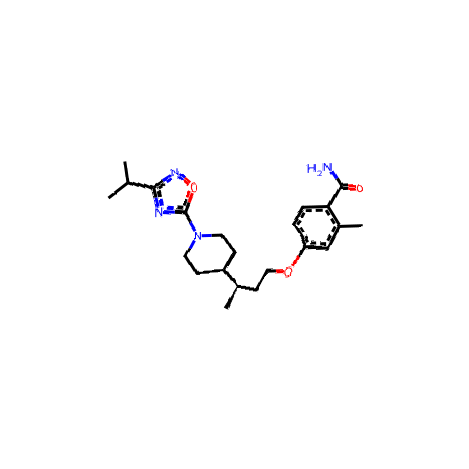 Cc1cc(OCC[C@@H](C)C2CCN(c3nc(C(C)C)no3)CC2)ccc1C(N)=O